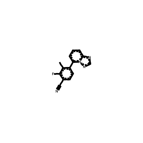 Cc1c(-c2cccc3ncnn23)ccc(C#N)c1F